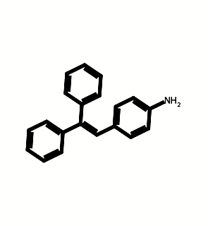 Nc1ccc(C=C(c2ccccc2)c2ccccc2)cc1